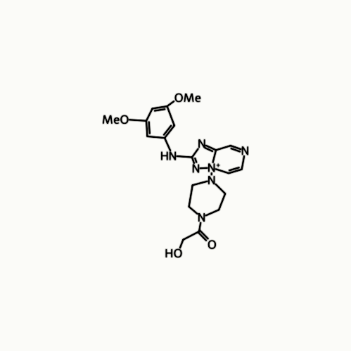 COc1cc(NC2=N[N+]3(N4CCN(C(=O)CO)CC4)C=CN=CC3=N2)cc(OC)c1